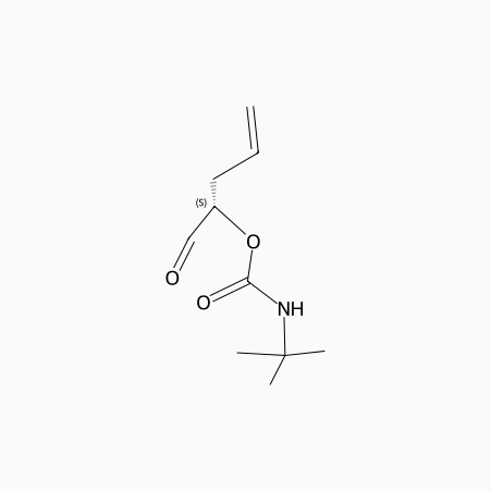 C=CC[C@@H](C=O)OC(=O)NC(C)(C)C